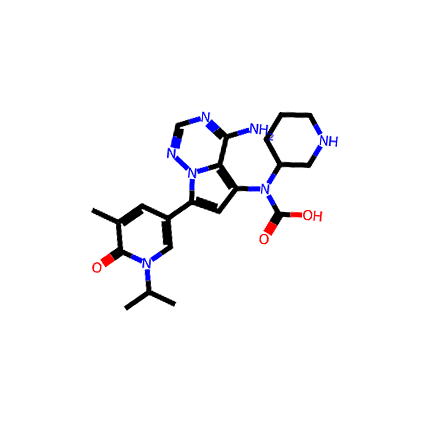 Cc1cc(-c2cc(N(C(=O)O)C3CCCNC3)c3c(N)ncnn23)cn(C(C)C)c1=O